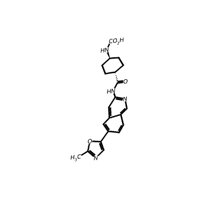 Cc1ncc(-c2ccc3cnc(NC(=O)[C@H]4CC[C@H](NC(=O)O)CC4)cc3c2)o1